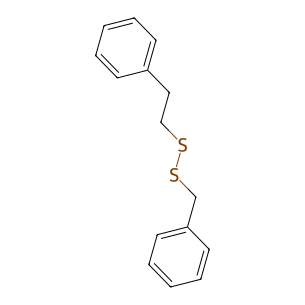 c1ccc(CCSSCc2ccccc2)cc1